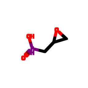 O=[PH](O)CC1CO1